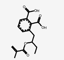 C=C(C)C(=O)OC(CC)Cc1cccc(C(=O)O)c1C(=O)O